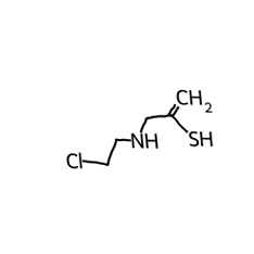 C=C(S)CNCCCl